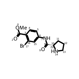 COC(=O)c1ccc(NC(=O)[C@@H]2CCCN2)cc1Br